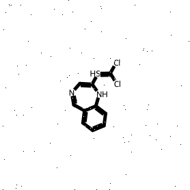 ClC(Cl)=[SH]C1=CN=Cc2ccccc2N1